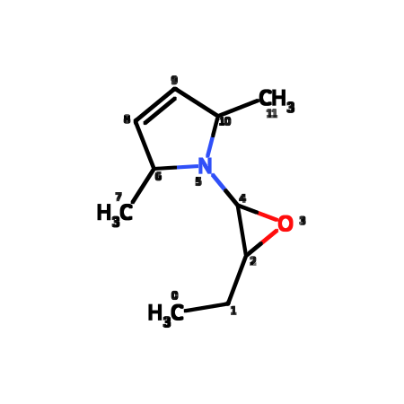 CCC1OC1N1C(C)C=CC1C